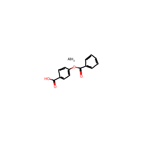 O=C(O)c1ccc(OC(=O)c2ccccc2)cc1.[AlH3]